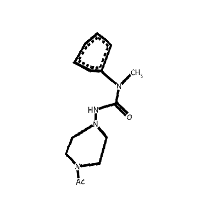 CC(=O)N1CCN(NC(=O)N(C)c2ccccc2)CC1